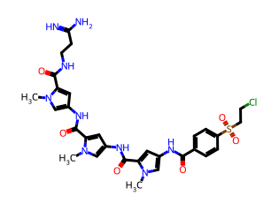 Cn1cc(NC(=O)c2cc(NC(=O)c3cc(NC(=O)c4ccc(S(=O)(=O)CCCl)cc4)cn3C)cn2C)cc1C(=O)NCCC(=N)N